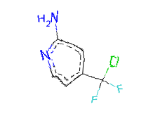 Nc1cc(C(F)(F)Cl)ccn1